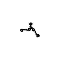 C/C(=C\N(c1ccc(/C=C/C=C/c2ccccc2)cc1)c1ccc(/C=C/C=C/c2ccccc2)cc1)c1ccccc1